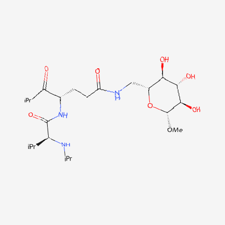 CO[C@@H]1O[C@H](CNC(=O)CC[C@H](NC(=O)[C@@H](NC(C)C)C(C)C)C(=O)C(C)C)[C@@H](O)[C@H](O)[C@H]1O